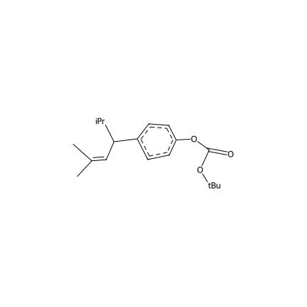 CC(C)=CC(c1ccc(OC(=O)OC(C)(C)C)cc1)C(C)C